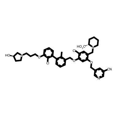 Cc1c(COc2cc(OCc3cncc(C#N)c3)c(CN3CCCC[C@H]3C(=O)O)cc2Cl)cccc1-c1cccc(OCCCN2CC[C@@H](O)C2)c1Cl